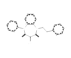 NC1C(=O)N(CCc2ccccc2)c2ccccc2N(c2ccccc2)C1=O